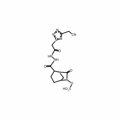 N#CCc1nnn(CC(=O)NNC(=O)C2CCC3CN2C(=O)N3OS(=O)(=O)O)n1